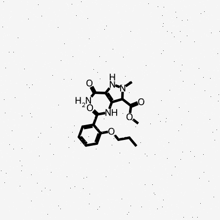 CCCOc1ccccc1C(=O)NC1=C(C(N)=O)NN(C)C1C(=O)OC